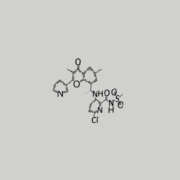 Cc1cc([C@@H](C)Nc2ccc(Cl)nc2C(=O)NS(C)(=O)=O)c2oc(-c3cccnc3)c(C)c(=O)c2c1